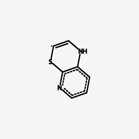 [C]1=CNc2cccnc2S1